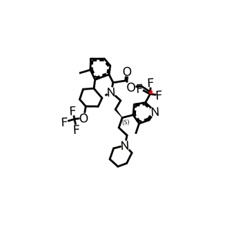 CCOC(=O)C(c1cccc(C)c1C1CCC(OC(F)(F)F)CC1)N(C)CC[C@H](CCN1CCCCC1)c1cc(C(F)(F)F)ncc1C